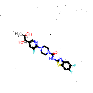 C[C@@H](O)[C@H](O)c1cnc(N2CCN(C(=O)Nc3nc4cc(F)c(F)cc4s3)CC2)c(F)c1